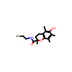 Cc1c(C)c2c(c(C)c1O)CCC(C)(C(=O)NCCC(C)C)O2